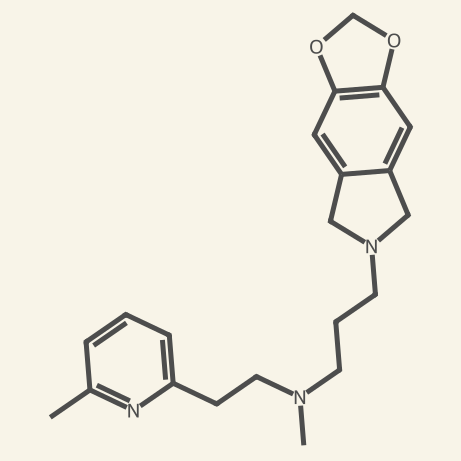 Cc1cccc(CCN(C)CCCN2Cc3cc4c(cc3C2)OCO4)n1